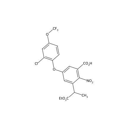 CCOC(=O)C(C)c1cc(Oc2ccc(OC(F)(F)F)cc2Cl)cc(C(=O)O)c1[N+](=O)[O-]